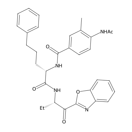 CC[C@H](NC(=O)[C@H](CCCc1ccccc1)NC(=O)c1ccc(NC(C)=O)c(C)c1)C(=O)c1nc2ccccc2o1